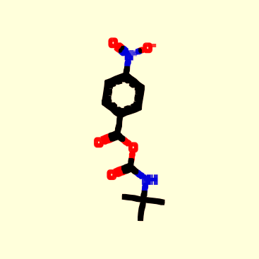 CC(C)(C)NC(=O)OC(=O)c1ccc([N+](=O)[O-])cc1